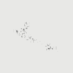 CC(C)n1cnc2c(-c3cccc(NC(=O)CCCCCCC(O)C(N)=O)c3)nc(N3CCOCC3)nc21